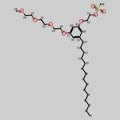 CCCCCCCCCCCCCCCc1cc(OCCOCCOCCOC)cc(OCCOS(C)(=O)=O)c1